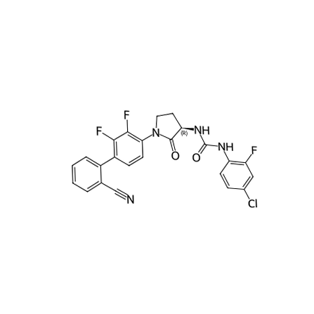 N#Cc1ccccc1-c1ccc(N2CC[C@@H](NC(=O)Nc3ccc(Cl)cc3F)C2=O)c(F)c1F